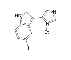 CCn1cncc1-c1c[nH]c2ccc(I)cc12